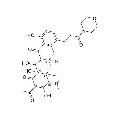 CC(=O)C1=C(O)[C@@H](N(C)C)[C@@H]2C[C@@H]3Cc4c(CCC(=O)N5CCOCC5)ccc(O)c4C(=O)C3=C(O)[C@]2(O)C1=O